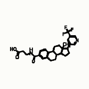 CC12CCC3c4ccc(C(=O)NCCC(=O)O)cc4CCC3C1CCC2c1cncc(C(F)(F)F)c1